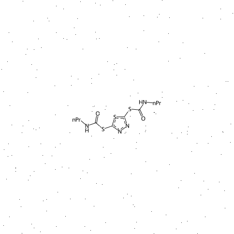 CCCNC(=O)Sc1nnc(SC(=O)NCCC)s1